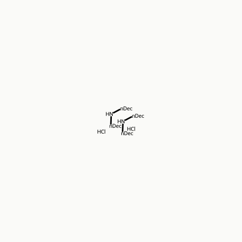 CCCCCCCCCCNCCCCCCCCCC.CCCCCCCCCCNCCCCCCCCCC.Cl.Cl